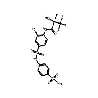 C[C@](O)(C(=O)Nc1ccc(S(=O)(=O)Nc2ccc(S(N)(=O)=O)cc2)cc1Cl)C(F)(F)F